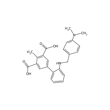 Cc1c(C(=O)O)cc(-c2ccccc2NCc2ccc(N(C)C)cc2)cc1C(=O)O